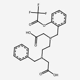 O=C(O)CN(CCN(CC(=O)O)Cc1ccccc1OC(=O)C(F)(F)F)Cc1ccccc1